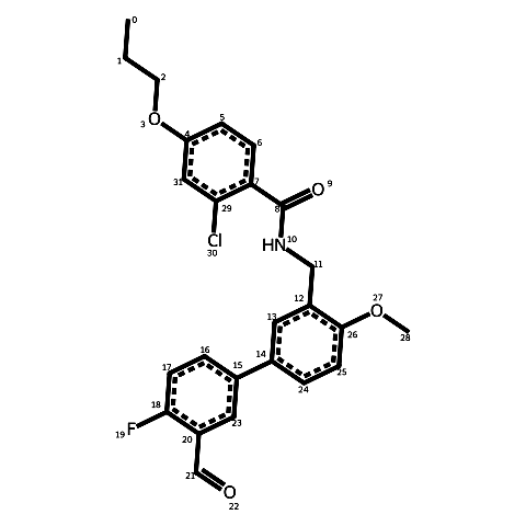 CCCOc1ccc(C(=O)NCc2cc(-c3ccc(F)c(C=O)c3)ccc2OC)c(Cl)c1